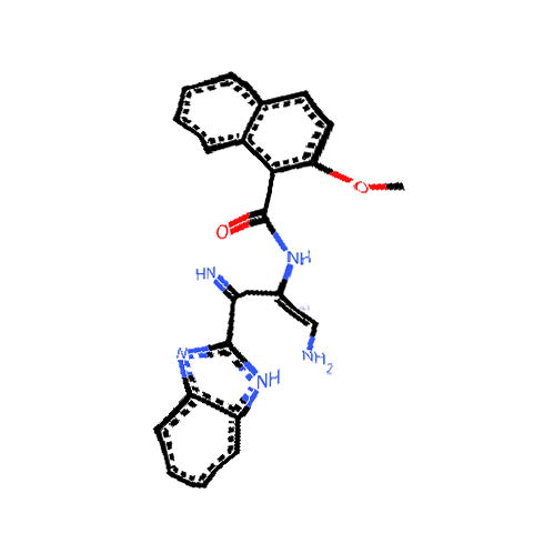 COc1ccc2ccccc2c1C(=O)N/C(=C/N)C(=N)c1nc2ccccc2[nH]1